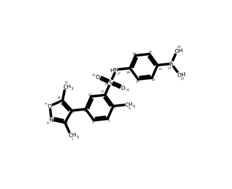 Cc1ccc(-c2c(C)noc2C)cc1S(=O)(=O)Nc1ccc(B(O)O)cc1